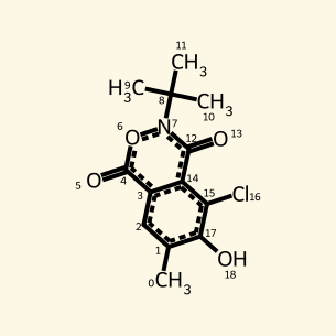 Cc1cc2c(=O)on(C(C)(C)C)c(=O)c2c(Cl)c1O